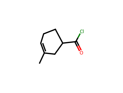 CC1=CCCC(C(=O)Cl)C1